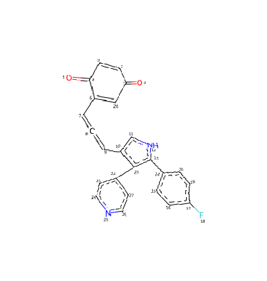 O=C1C=CC(=O)C(C=C=Cc2c[nH]c(-c3ccc(F)cc3)c2-c2ccncc2)=C1